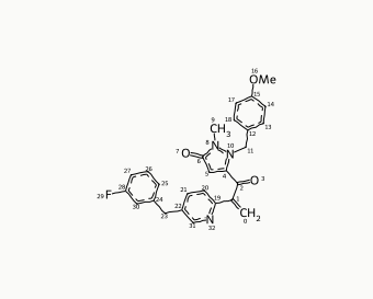 C=C(C(=O)c1cc(=O)n(C)n1Cc1ccc(OC)cc1)c1ccc(Cc2cccc(F)c2)cn1